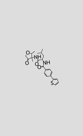 CC(C)CC(NC(=O)c1ccc(-c2cccs2)cc1)C(=O)NC1(C)C(=O)COC1C